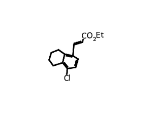 CCOC(=O)C=Cc1ccc(Cl)c2c1CCCC2